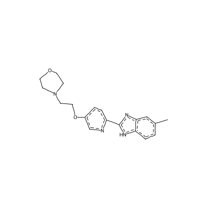 Cc1ccc2[nH]c(-c3ccc(OCCN4CCOCC4)cn3)nc2c1